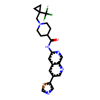 O=C(Nc1cc2cc(-c3cncs3)cnc2cn1)C1CCN(CC2(C(F)(F)F)CC2)CC1